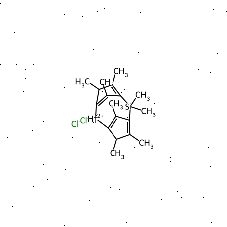 CC1=[C]2[Hf+2][C]3=C(C)C(=C(C)C3C)[Si](C)(C)C1=C(C)C2C.[Cl-].[Cl-]